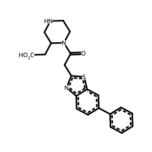 O=C(O)CC1CNCCN1C(=O)Cc1nc2ccc(-c3ccccc3)cc2s1